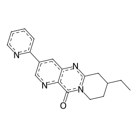 CCC1CCn2c(nc3cc(-c4ccccn4)cnc3c2=O)C1